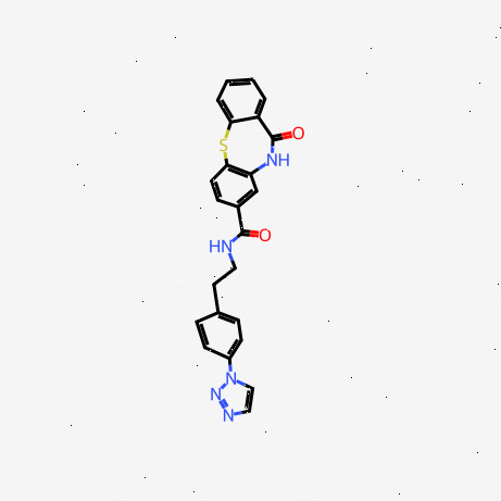 O=C(NCCc1ccc(-n2ccnn2)cc1)c1ccc2c(c1)NC(=O)c1ccccc1S2